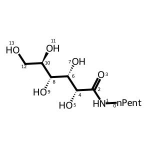 CCCCCNC(=O)[C@H](O)[C@@H](O)[C@H](O)[C@H](O)CO